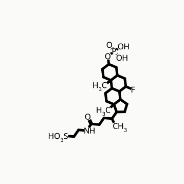 CC(CCC(=O)NCCS(=O)(=O)O)C1CCC2C3C(F)CC4CC(OP(=O)(O)O)CCC4(C)C3CCC12C